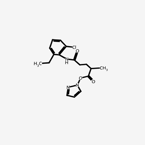 CCc1cccc(Cl)c1NC(=O)CCC(C)C(=O)On1cccn1